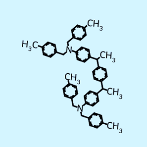 Cc1ccc(CN(Cc2ccc(C)cc2)c2ccc(C(C)c3ccc(C(C)c4ccc(N(Cc5ccc(C)cc5)Cc5ccc(C)cc5)cc4)cc3)cc2)cc1